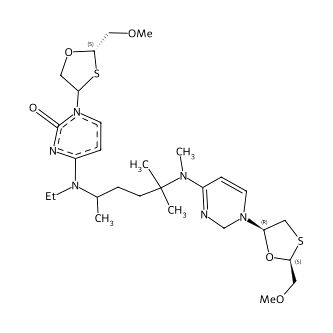 CCN(c1ccn(C2CO[C@H](COC)S2)c(=O)n1)C(C)CCC(C)(C)N(C)C1=NCN([C@H]2CS[C@@H](COC)O2)C=C1